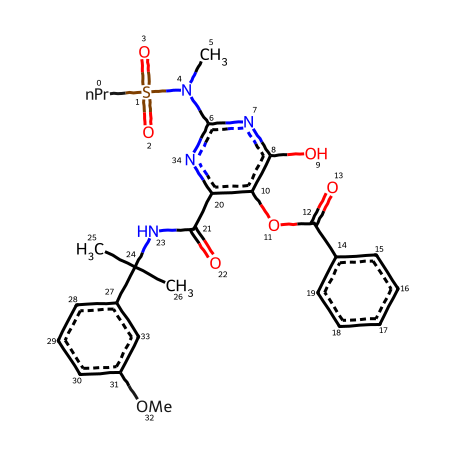 CCCS(=O)(=O)N(C)c1nc(O)c(OC(=O)c2ccccc2)c(C(=O)NC(C)(C)c2cccc(OC)c2)n1